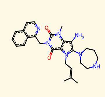 CC(C)=CCn1c(N2CCCNCC2)c(N)c2c1c(=O)n(Cc1nccc3ccccc13)c(=O)n2C